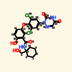 O=C(NC1(CO)CCCCC1)c1cc(Oc2c(Cl)cc(-n3ncc(=O)[nH]c3=O)cc2Cl)ccc1O